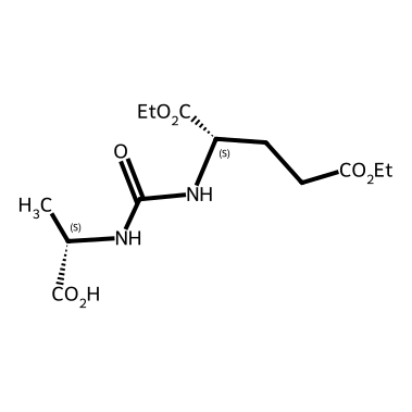 CCOC(=O)CC[C@H](NC(=O)N[C@@H](C)C(=O)O)C(=O)OCC